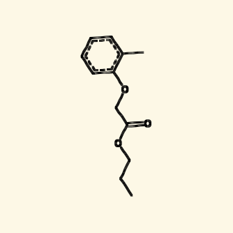 CCCOC(=O)COc1ccccc1C